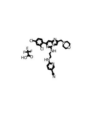 N#Cc1ccc(NCCNc2nc(-c3ccc(Cl)cc3Cl)cc3nc(CN4CCOCC4)cn23)nc1.O=C(O)C(F)(F)F